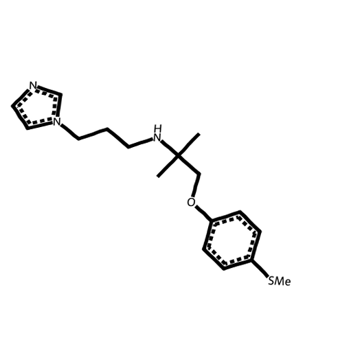 CSc1ccc(OCC(C)(C)NCCCn2ccnc2)cc1